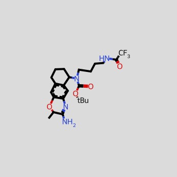 CC1Oc2cc3c(cc2N=C1N)C(N(CCCCNC(=O)C(F)(F)F)C(=O)OC(C)(C)C)CCC3